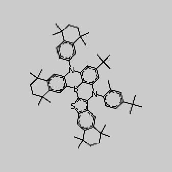 Cc1cc(C(C)(C)C)ccc1N1c2cc(C(C)(C)C)cc3c2B(c2cc4c(cc2N3c2ccc3c(c2)C(C)(C)CCC3(C)C)C(C)(C)CCC4(C)C)c2sc3cc4c(cc3c21)C(C)(C)CCC4(C)C